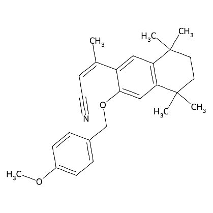 COc1ccc(COc2cc3c(cc2/C(C)=C\C#N)C(C)(C)CCC3(C)C)cc1